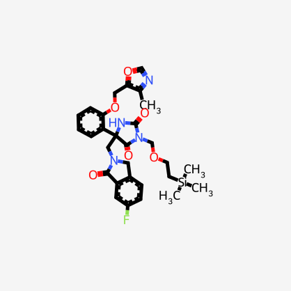 Cc1ncoc1COc1ccccc1C1(CN2Cc3ccc(F)cc3C2=O)NC(=O)N(COCC[Si](C)(C)C)C1=O